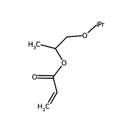 C=CC(=O)OC(C)COC(C)C